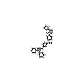 O=S(=O)(Nc1nccs1)c1ccc(Nc2nc(CNC(c3ccccc3)c3ccccc3)cs2)cc1